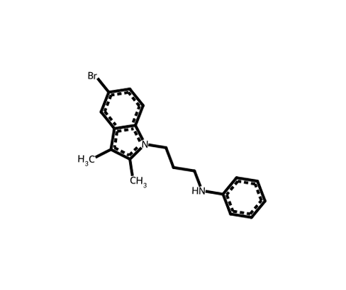 Cc1c(C)n(CCCNc2ccccc2)c2ccc(Br)cc12